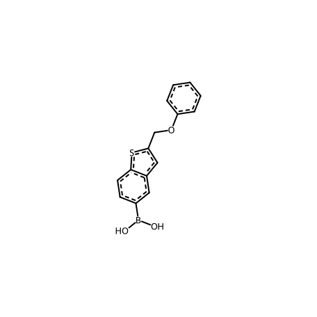 OB(O)c1ccc2sc(COc3ccccc3)cc2c1